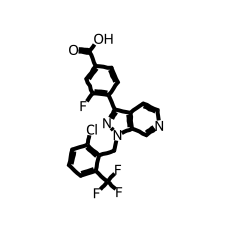 O=C(O)c1ccc(-c2nn(Cc3c(Cl)cccc3C(F)(F)F)c3cnccc23)c(F)c1